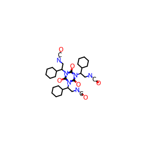 O=C=NCC(C1CCCCC1)n1c(=O)n(C(CN=C=O)C2CCCCC2)c(=O)n(C(CN=C=O)C2CCCCC2)c1=O